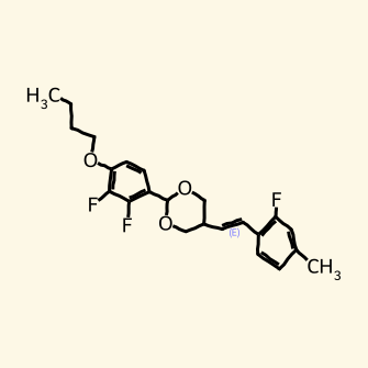 CCCCOc1ccc(C2OCC(/C=C/c3ccc(C)cc3F)CO2)c(F)c1F